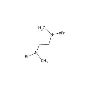 CCCN(C)CCN(C)CC